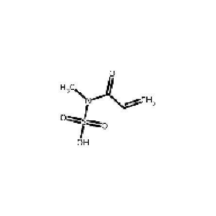 C=CC(=O)N(C)S(=O)(=O)O